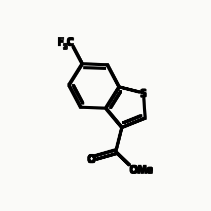 COC(=O)c1csc2cc(C(F)(F)F)ccc12